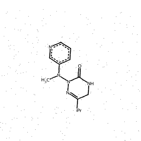 CC(C)C1=NN(N(C)c2cccnc2)C(=O)NC1